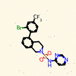 O=S(=O)(Nc1ccncn1)N1CCc2c(cccc2-c2ccc(C(F)(F)F)cc2Br)C1